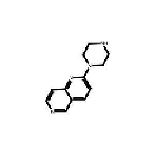 c1cc2nc(N3CCNCC3)ccc2cn1